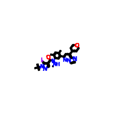 CNN(C(=O)c1cnn(C(C)(C)C)c1I)c1cc(-c2cc(C3=CCOCC3)c3nccn3n2)c(C)cc1C